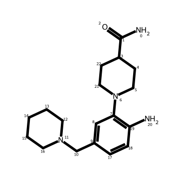 NC(=O)C1CCN(c2cc(CN3CCCCC3)ccc2N)CC1